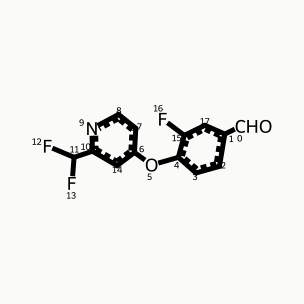 O=Cc1ccc(Oc2ccnc(C(F)F)c2)c(F)c1